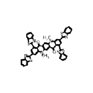 Cn1c2cc3c(=O)c4c(-c5nc6ccccc6s5)cc(-c5nc6ccccc6s5)cc4n(C)c3cc2c(=O)c2c(-c3nc4ccccc4s3)cc(-c3nc4ccccc4s3)cc21